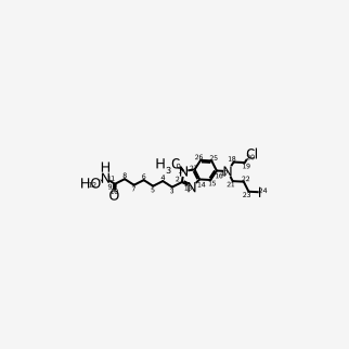 Cn1c(CCCCCCC(=O)NO)nc2cc(N(CCCl)CCCI)ccc21